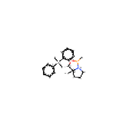 CP1O[C@@H](C[Si](C)(c2ccccc2)c2ccccc2)[C@H]2CCCN21